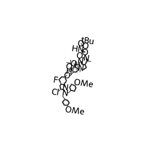 COc1ccc(CN(Cc2ccc(OC)cc2)c2nc3cc(OCC4=C[C@@H](n5ccc6c(C)nc(OC(=O)NC(=O)OC(C)(C)C)nc65)[C@@H]5OC(C)(C)O[C@H]45)cc(F)c3cc2Cl)cc1